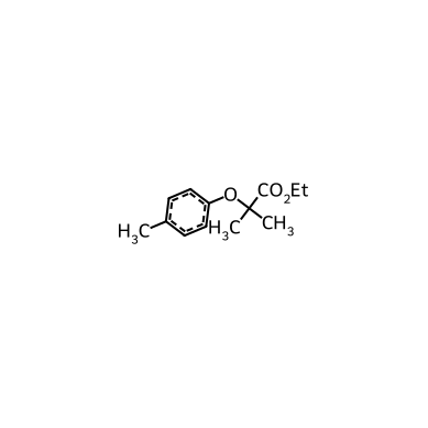 CCOC(=O)C(C)(C)Oc1ccc(C)cc1